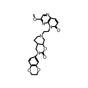 COc1cnc2ccc(=O)n(CCN3CCC4CN(c5ccc6c(c5)OCCO6)C(=O)OC4C3)c2n1